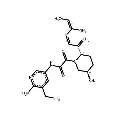 C=C(/C=N\C(N)=C/C)[C@@H]1CC[C@@H](C)CN1C(=O)C(=O)Nc1cnc(N)c(CC)c1